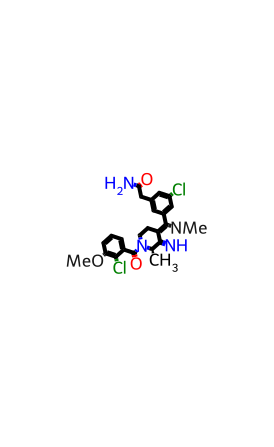 CN/C(=C1/CCN(C(=O)c2cccc(OC)c2Cl)[C@H](C)C1=N)c1cc(Cl)cc(CC(N)=O)c1